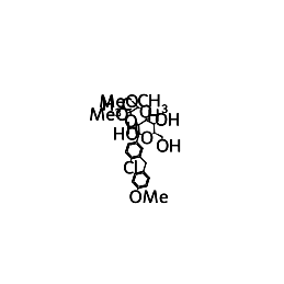 COc1ccc(Cc2cc([C@]3(O)O[C@H](CO)[C@H](O)[C@@H]4OC(C)(OC)C(C)(OC)O[C@H]43)ccc2Cl)cc1